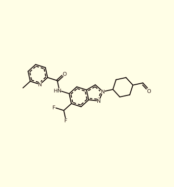 Cc1cccc(C(=O)Nc2cc3cn(C4CCC(C=O)CC4)nc3cc2C(F)F)n1